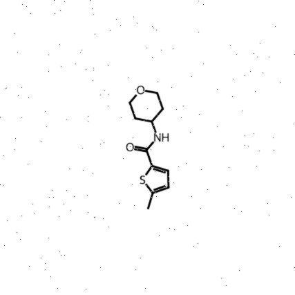 Cc1ccc(C(=O)NC2CCOCC2)s1